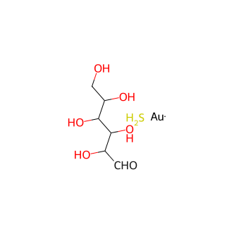 O=CC(O)C(O)C(O)C(O)CO.S.[Au]